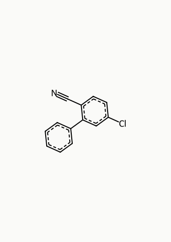 N#Cc1ccc(Cl)cc1-c1ccccc1